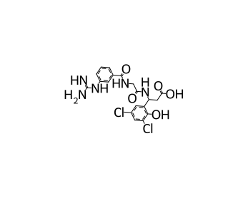 N=C(N)Nc1cccc(C(=O)NCC(=O)NC(CC(=O)O)c2cc(Cl)cc(Cl)c2O)c1